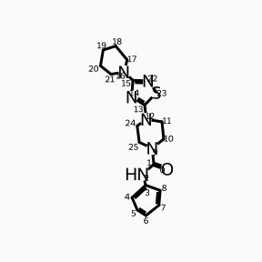 O=C(Nc1ccccc1)N1CCN(c2nc(N3CCCCC3)ns2)CC1